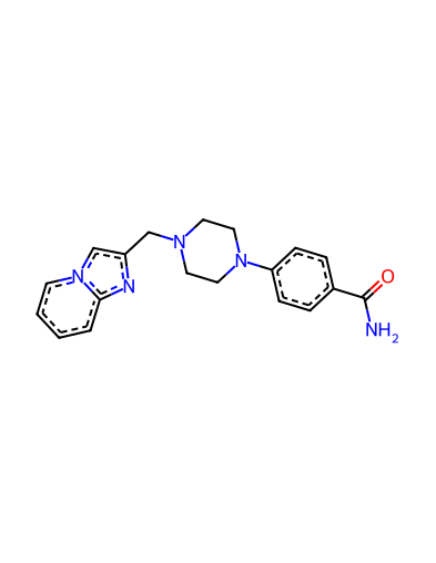 NC(=O)c1ccc(N2CCN(Cc3cn4ccccc4n3)CC2)cc1